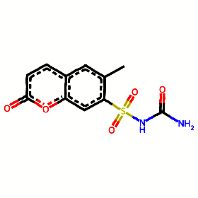 Cc1cc2ccc(=O)oc2cc1S(=O)(=O)NC(N)=O